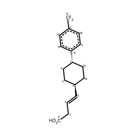 O=C(O)CC=C[C@H]1CC[C@H](c2ccc(C(F)(F)F)cc2)CC1